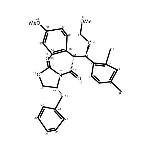 COCO[C@@H](c1ccc(C)cc1C)[C@H](C(=O)N1C(=O)OC[C@H]1Cc1ccccc1)c1ccc(OC)cc1C